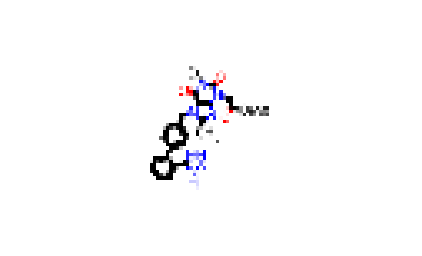 CCn1c(=O)c2c(nc(C)n2Cc2ccc(-c3ccccc3-c3nnn[nH]3)cc2)n(CC(=O)OC)c1=O